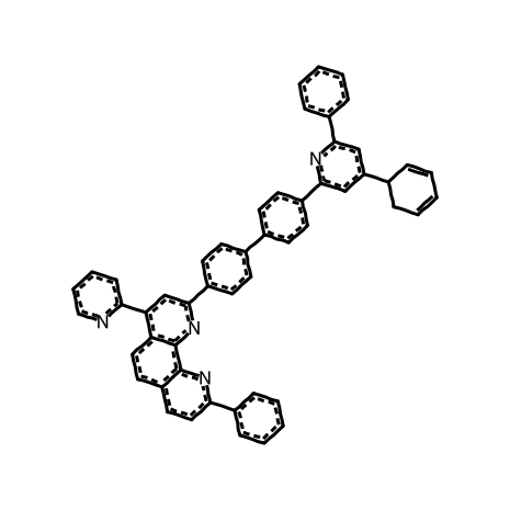 C1=CCC(c2cc(-c3ccccc3)nc(-c3ccc(-c4ccc(-c5cc(-c6ccccn6)c6ccc7ccc(-c8ccccc8)nc7c6n5)cc4)cc3)c2)C=C1